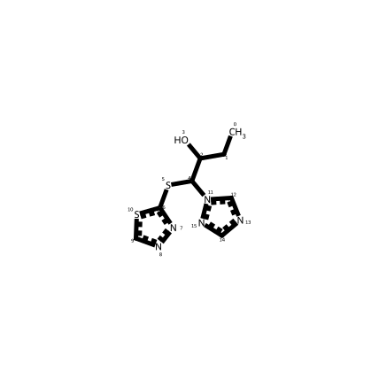 CCC(O)C(Sc1nncs1)n1cncn1